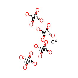 [C+4].[O]=[Mn](=[O])(=[O])[O-].[O]=[Mn](=[O])(=[O])[O-].[O]=[Mn](=[O])(=[O])[O-].[O]=[Mn](=[O])(=[O])[O-]